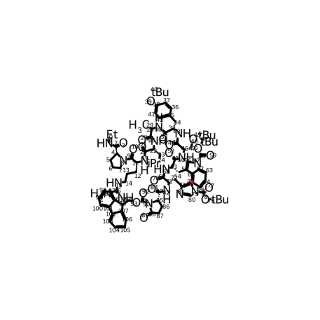 CCNC(=O)[C@@H]1CCCN1C(=O)[C@H](CCCNC(=N)N)NC(=O)[C@H](CC(C)C)NC(=O)[C@@H](C)NC(=O)[C@H](Cc1ccc(OC(C)(C)C)cc1)NC(=O)[C@H](COC(C)(C)C)NC(=O)[C@H](Cc1cn(C(=O)OC(C)(C)C)c2ccccc12)NC(=O)[C@H](Cc1cn(C(=O)OC(C)(C)C)cn1)NC(=O)[C@@H]1CCC(=O)N1C(=O)OCC1c2ccccc2-c2ccccc21